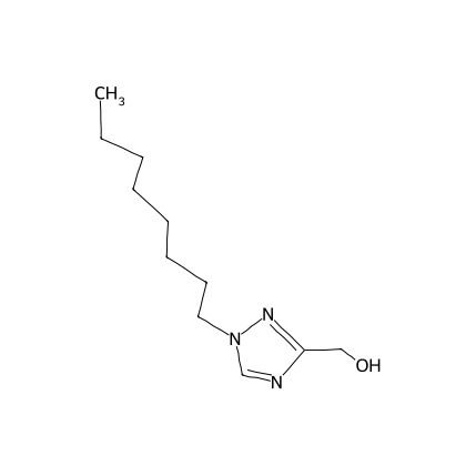 CCCCCCCCn1cnc(CO)n1